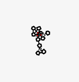 c1ccc(-n2c3ccccc3c3c(N(c4ccc(-c5ccc(-n6c7ccccc7c7ccccc76)cc5)cc4)c4cccc5c4C4(c6ccccc6-c6ccccc64)c4ccccc4-5)cccc32)cc1